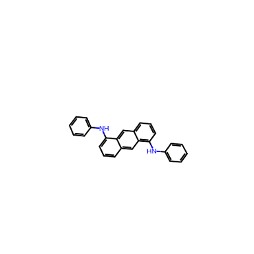 c1ccc(Nc2cccc3cc4c(Nc5ccccc5)cccc4cc23)cc1